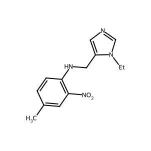 CCn1cncc1CNc1ccc(C)cc1[N+](=O)[O-]